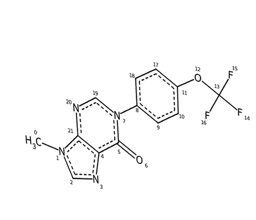 Cn1cnc2c(=O)n(-c3ccc(OC(F)(F)F)cc3)cnc21